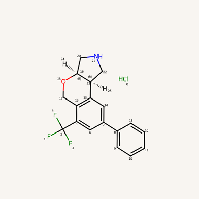 Cl.FC(F)(F)c1cc(-c2ccccc2)cc2c1CO[C@H]1CNC[C@@H]21